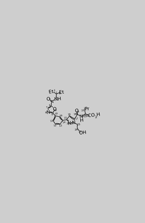 CCC(CC)NC(=O)c1cnc(-c2cccc(-c3cc(C(=O)N[C@H](C(=O)O)C(C)C)n(CCO)n3)c2)o1